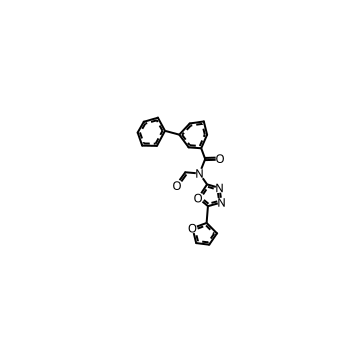 O=CN(C(=O)c1cccc(-c2ccccc2)c1)c1nnc(-c2ccco2)o1